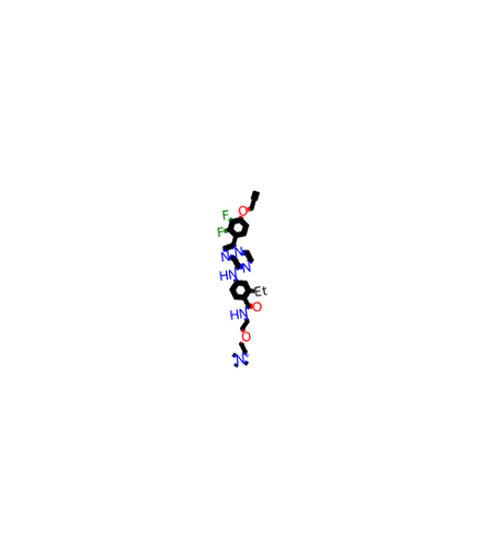 C#CCOc1ccc(-c2cnc3c(Nc4ccc(C(=O)NCCOCC[N+](C)(C)C)c(CC)c4)nccn23)c(F)c1F